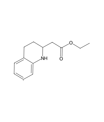 CCOC(=O)CC1CCc2cc[c]cc2N1